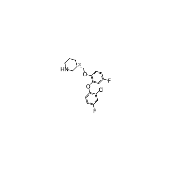 Fc1ccc(Oc2cc(F)ccc2OC[C@H]2CCCNC2)c(Cl)c1